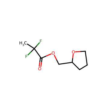 CC(F)(F)C(=O)OCC1CCCO1